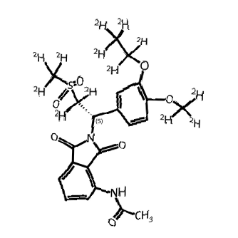 [2H]C([2H])([2H])Oc1ccc([C@H](N2C(=O)c3cccc(NC(C)=O)c3C2=O)C([2H])([2H])S(=O)(=O)C([2H])([2H])[2H])cc1OC([2H])([2H])C([2H])([2H])[2H]